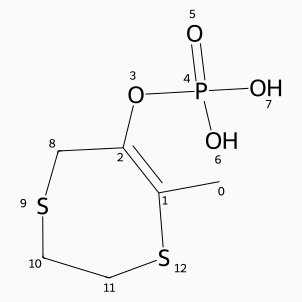 CC1=C(OP(=O)(O)O)CSCCS1